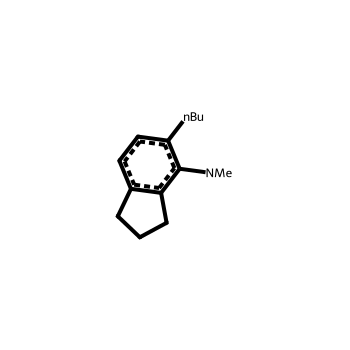 CCCCc1ccc2c(c1NC)CCC2